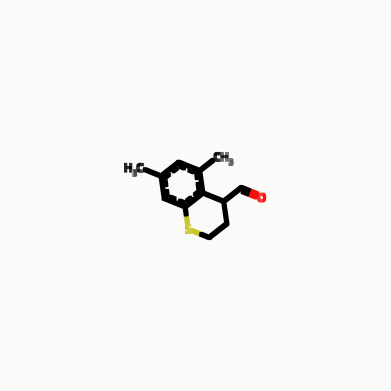 Cc1cc(C)c2c(c1)SCCC2C=O